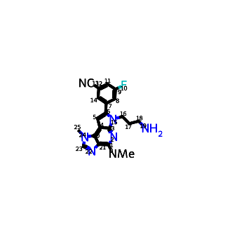 CNc1nc2c(cc(-c3cc(F)cc(C#N)c3)n2CCCN)c2c1ncn2C